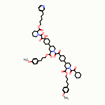 COc1ccc(CCCCOC(=O)C2CC(C3CCC(C(=O)C(=O)N4CCC(C5CCC(O)(C(=O)C(=O)N6CCCCC6C(=O)OCCCCCc6cccnc6)CC5)CC4C(=O)OCCCc4ccc(OC)cc4)CC3)CCN2C(=O)C(=O)C2CCCCC2)cc1